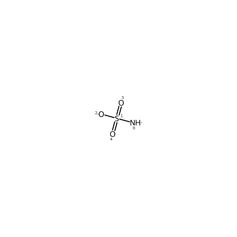 [NH]S([O])(=O)=O